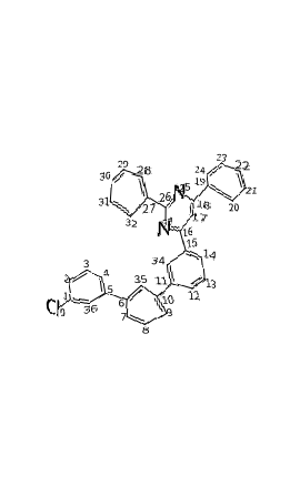 Clc1cccc(-c2cccc(-c3cccc(-c4cc(-c5ccccc5)nc(-c5ccccc5)n4)c3)c2)c1